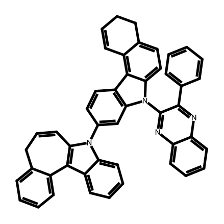 C1=Cc2c(ccc3c2c2ccc(-n4c5c(c6ccccc64)-c4ccccc4CC=C5)cc2n3-c2nc3ccccc3nc2-c2ccccc2)CC1